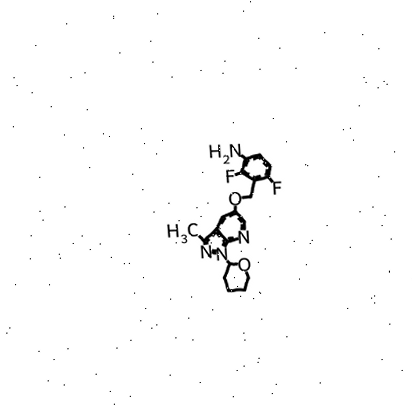 Cc1nn(C2CCCCO2)c2ncc(OCc3c(F)ccc(N)c3F)cc12